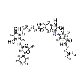 CCN(CC)CCNC(=O)c1c(C)[nH]c(/C=C2\C(=O)Nc3ccc(OC(=O)CCC/C=C\C[C@@H]4[C@@H](CC[C@H](CCc5ccccc5)OC(C)=O)[C@H](O)C[C@@H]4O)cc32)c1C